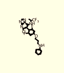 C[C@H](Nc1c(-c2c(F)cc(OCCCNc3ccccc3)cc2F)c(Cl)nc2ncnn12)C(F)(F)F